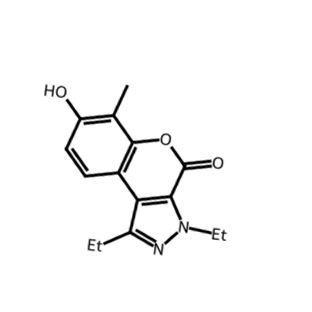 CCc1nn(CC)c2c(=O)oc3c(C)c(O)ccc3c12